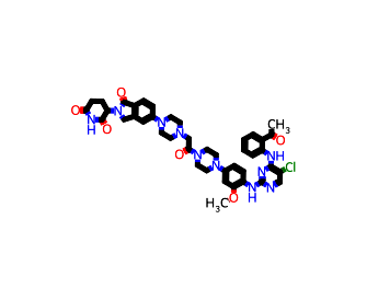 COc1cc(N2CCN(C(=O)CN3CCN(c4ccc5c(c4)CN(C4CCC(=O)NC4=O)C5=O)CC3)CC2)ccc1Nc1ncc(Cl)c(Nc2ccccc2C(C)=O)n1